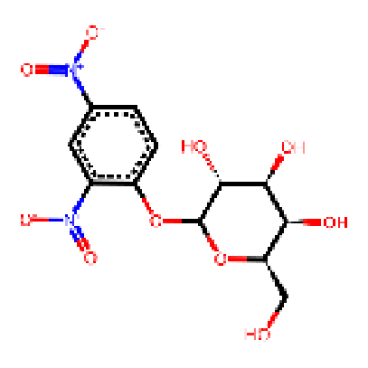 O=[N+]([O-])c1ccc(OC2O[C@H](CO)[C@H](O)[C@H](O)[C@H]2O)c([N+](=O)[O-])c1